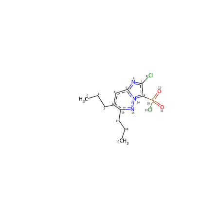 CCCc1cc2nc(Cl)c(S(=O)(=O)Cl)n2nc1CCC